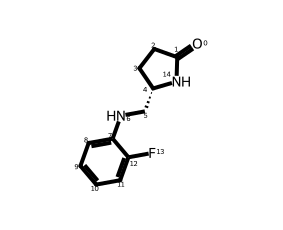 O=C1CC[C@@H](CNc2ccccc2F)N1